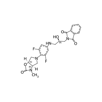 CN1C(=O)O[C@H]2CN(c3c(F)cc(NC[C@@H](O)CN4C(=O)c5ccccc5C4=O)cc3F)C[C@H]21